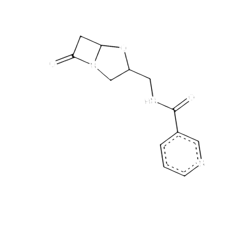 O=C(NCC1CN2C(=O)CC2O1)c1cccnc1